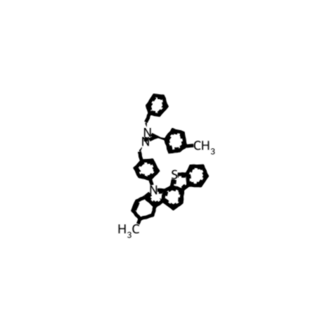 Cc1ccc([C@@H]2[N@@](Cc3ccccc3)[N@@]2Cc2ccc(-n3c4c(c5ccc6c7ccccc7sc6c53)CC(C)C=C4)cc2)cc1